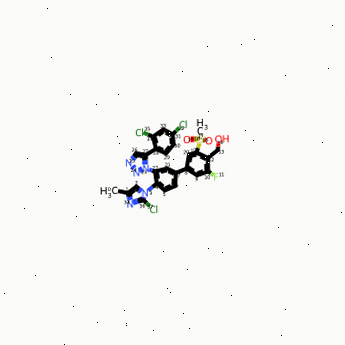 Cc1cn(-c2ccc(-c3cc(F)c(CO)c(S(C)(=O)=O)c3)cc2-n2nncc2-c2ccc(Cl)cc2Cl)c(Cl)n1